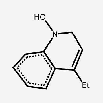 CCC1=CCN(O)c2ccccc21